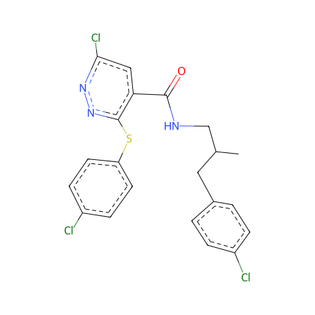 CC(CNC(=O)c1cc(Cl)nnc1Sc1ccc(Cl)cc1)Cc1ccc(Cl)cc1